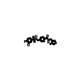 Cn1cncc1CNC(=O)c1ccc(CNS(=O)(=O)c2ccc(F)c(Cl)c2)cn1